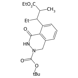 CCOC(=O)C(C)C(CC)c1cccc2c1C(=O)NN(C(=O)OC(C)(C)C)C2